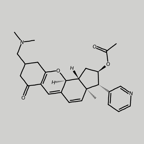 CC(=O)O[C@@H]1C[C@H]2[C@@H]3OC4=C(C=C3C=C[C@]2(C)[C@H]1c1cccnc1)C(=O)CC(CN(C)C)C4